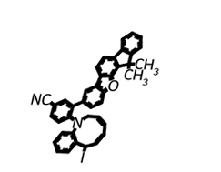 CC1(C)c2ccccc2-c2ccc3c(oc4ccc(-c5cc(C#N)ccc5N5C/C=C\C=C/C(I)c6ccccc65)cc43)c21